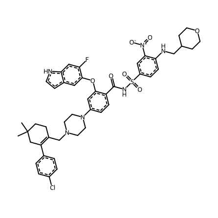 CC1(C)CCC(CN2CCN(c3ccc(C(=O)NS(=O)(=O)c4ccc(NCC5CCOCC5)c([N+](=O)[O-])c4)c(Oc4cc5cc[nH]c5cc4F)c3)CC2)=C(c2ccc(Cl)cc2)C1